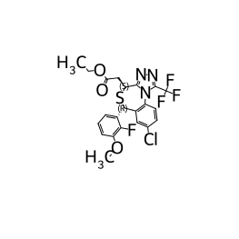 CCOC(=O)C[C@@H]1S[C@@H](c2cccc(OC)c2F)c2cc(Cl)ccc2-n2c1nnc2C(F)(F)F